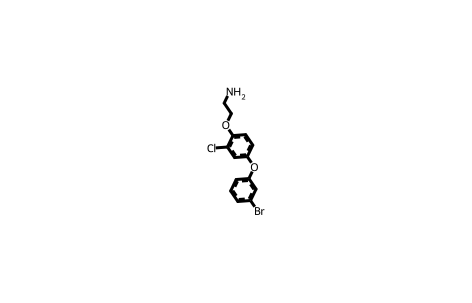 NCCOc1ccc(Oc2cccc(Br)c2)cc1Cl